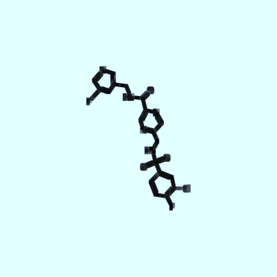 O=C(NCc1cncc(F)c1)c1cnc(CNS(=O)(=O)c2ccc(F)c(Cl)c2)cn1